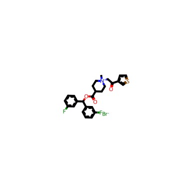 C[N+]1(CC(=O)c2ccsc2)CCC(C(=O)OC(c2cccc(F)c2)c2cccc(F)c2)CC1.[Br-]